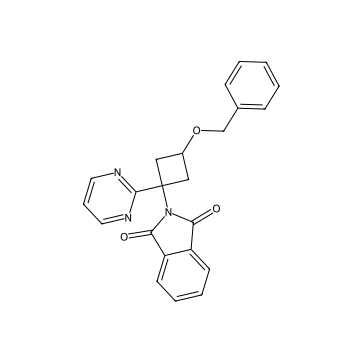 O=C1c2ccccc2C(=O)N1C1(c2ncccn2)CC(OCc2ccccc2)C1